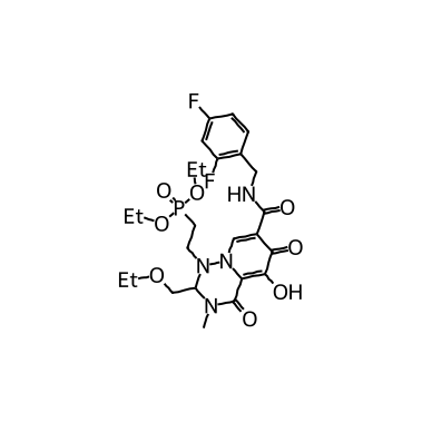 CCOCC1N(C)C(=O)c2c(O)c(=O)c(C(=O)NCc3ccc(F)cc3F)cn2N1CCP(=O)(OCC)OCC